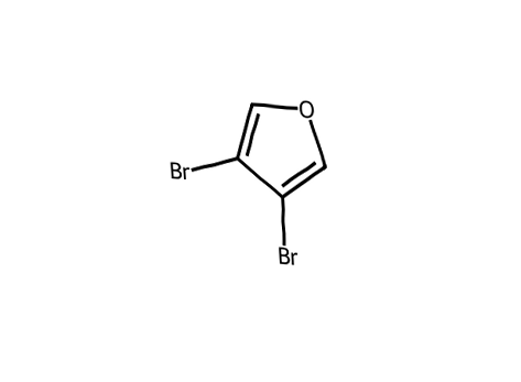 Brc1cocc1Br